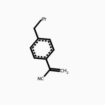 C=C(C#N)c1ccc(CC(C)C)cc1